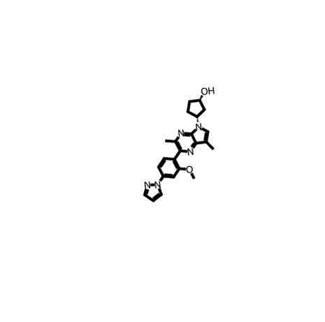 COc1cc(-n2cccn2)ccc1-c1nc2c(C)cn([C@@H]3CC[C@@H](O)C3)c2nc1C